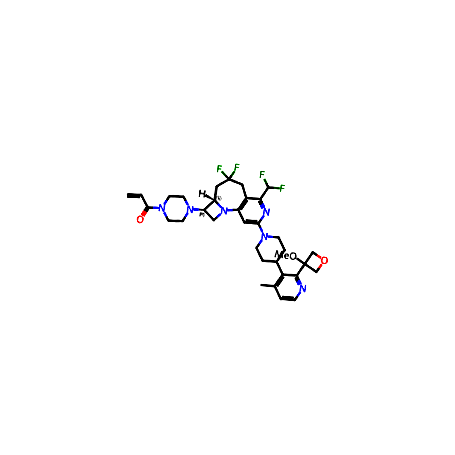 C=CC(=O)N1CCN([C@@H]2CN3c4cc(N5CCC(c6c(C)ccnc6C6(OC)COC6)CC5)nc(C(F)F)c4CC(F)(F)C[C@@H]23)CC1